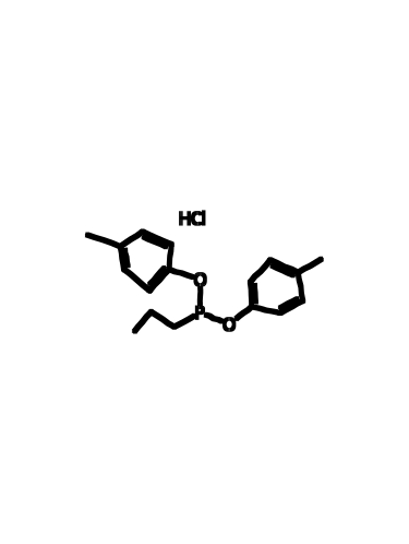 CCCP(Oc1ccc(C)cc1)Oc1ccc(C)cc1.Cl